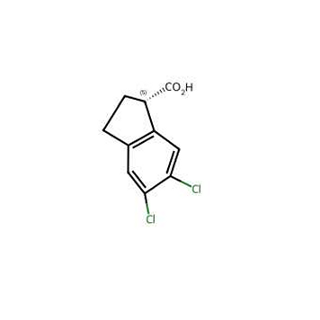 O=C(O)[C@H]1CCc2cc(Cl)c(Cl)cc21